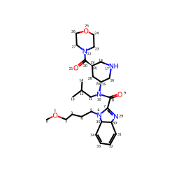 COCCCCN1C(C(=O)N(CC(C)C)[C@@H]2CNC[C@H](C(=O)N3CCOCC3)C2)=NC2C=CC=CC21